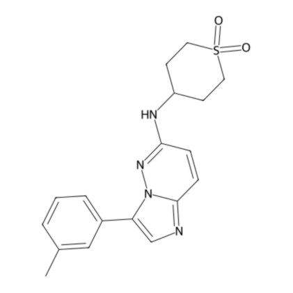 Cc1cccc(-c2cnc3ccc(NC4CCS(=O)(=O)CC4)nn23)c1